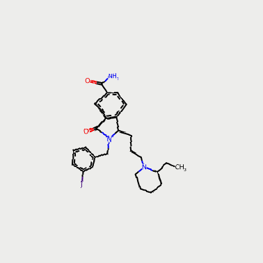 CCC1CCCCN1CCCC1c2ccc(C(N)=O)cc2C(=O)N1Cc1cccc(I)c1